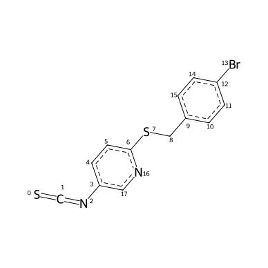 S=C=Nc1ccc(SCc2ccc(Br)cc2)nc1